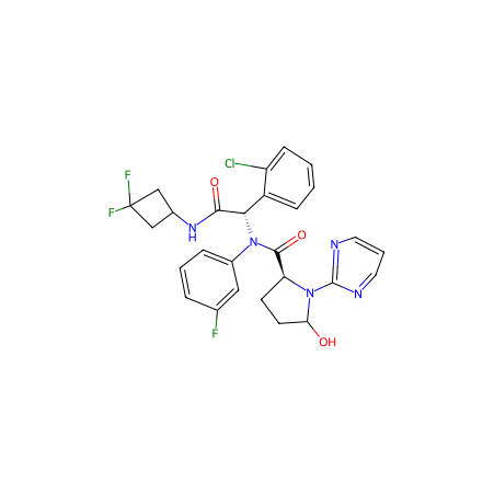 O=C(NC1CC(F)(F)C1)[C@H](c1ccccc1Cl)N(C(=O)[C@@H]1CCC(O)N1c1ncccn1)c1cccc(F)c1